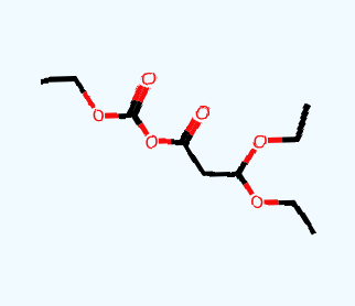 CCOC(=O)OC(=O)CC(OCC)OCC